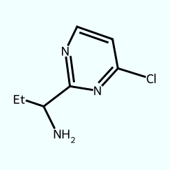 CCC(N)c1nccc(Cl)n1